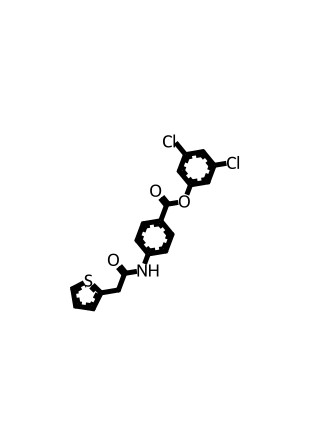 O=C(Cc1cccs1)Nc1ccc(C(=O)Oc2cc(Cl)cc(Cl)c2)cc1